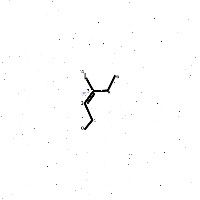 CC/C=C(/I)CC